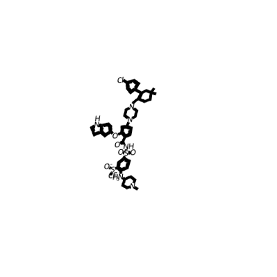 CN1CCC(Nc2ccc(S(=O)(=O)NC(=O)c3ccc(N4CCN(CC5=C(c6ccc(Cl)cc6)CC(C)(C)CC5)CC4)cc3Oc3ccc4[nH]ccc4c3)cc2[S+]([O-])C(F)(F)F)CC1